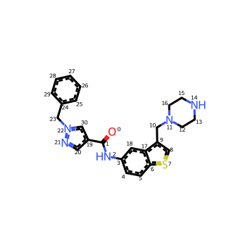 O=C(Nc1ccc2scc(CN3CCNCC3)c2c1)c1cnn(Cc2ccccc2)c1